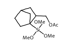 CO[Si](OC)(OC)C12CCC(CC1COC(C)=O)C2